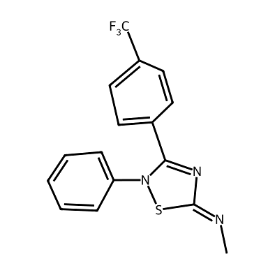 CN=c1nc(-c2ccc(C(F)(F)F)cc2)n(-c2ccccc2)s1